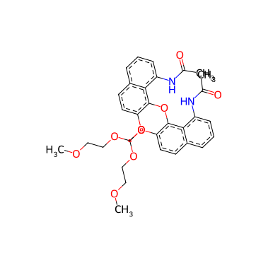 COCCOCOc1ccc2cccc(NC(C)=O)c2c1Oc1c(OCOCCOC)ccc2cccc(NC(C)=O)c12